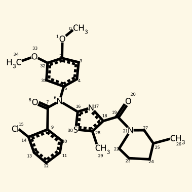 COc1ccc(N(C(=O)c2ccccc2Cl)c2nc(C(=O)N3CCCC(C)C3)c(C)s2)cc1OC